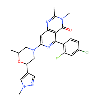 Cc1nc2cc(N3CC(C)OC(c4cnn(C)c4)C3)nc(-c3ccc(Cl)cc3F)c2c(=O)n1C